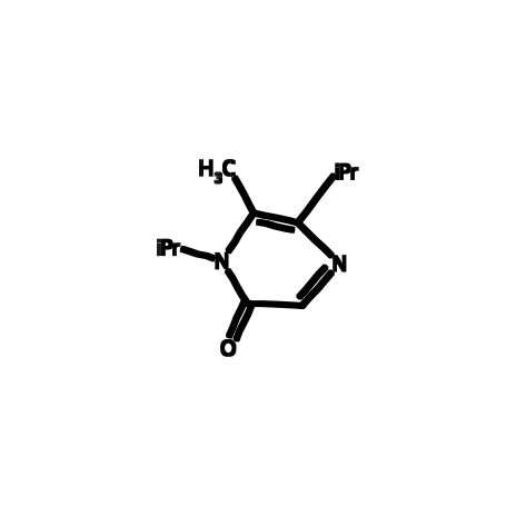 Cc1c(C(C)C)ncc(=O)n1C(C)C